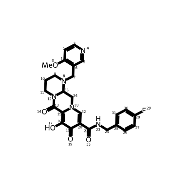 COc1ccncc1CN1CCCN2C(=O)c3c(O)c(=O)c(C(=O)NCc4ccc(F)cc4)cn3CC12